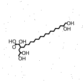 O=C(O)C(O)C(CCCCCCCCCCCCCCCCC(O)CO)CC(O)CO